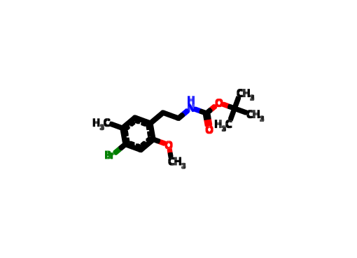 COc1cc(Br)c(C)cc1CCNC(=O)OC(C)(C)C